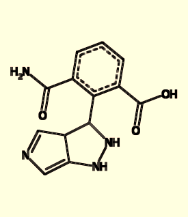 NC(=O)c1cccc(C(=O)O)c1C1NNC2=CN=CC21